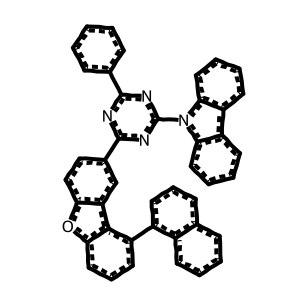 c1ccc(-c2nc(-c3ccc4oc5cccc(-c6cccc7ccccc67)c5c4c3)nc(-n3c4ccccc4c4ccccc43)n2)cc1